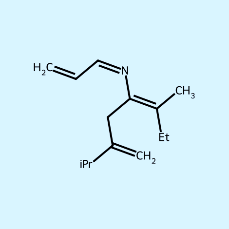 C=C/C=N\C(CC(=C)C(C)C)=C(/C)CC